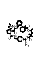 CC(CC(C)(C)C(=O)N=C(N)N1CCC(CNC(=O)[C@@H]2CCCN2C(=O)[C@H](Cc2ccccc2)NS(C)(=O)=O)CC1)OC(=O)C1(C)CCCCC1